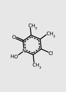 Cc1c(Cl)c(C)n(O)c(=O)c1C